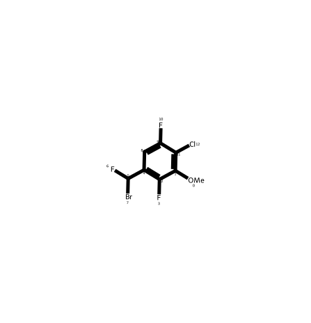 COc1c(F)c(C(F)Br)cc(F)c1Cl